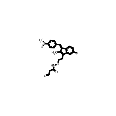 CC1=C(CCONC(=O)CC=O)c2cc(F)ccc2C1=Cc1ccc([S+](C)[O-])cc1